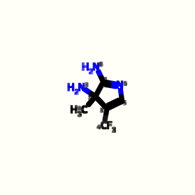 CC1(N)C(C(F)(F)F)=CN=C1N